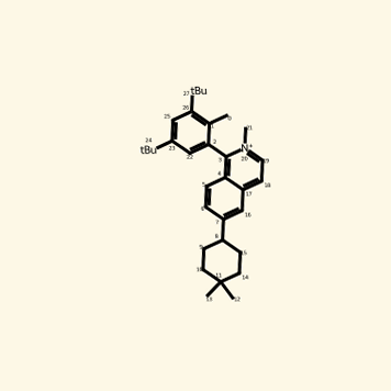 Cc1c(-c2c3ccc(C4CCC(C)(C)CC4)cc3cc[n+]2C)cc(C(C)(C)C)cc1C(C)(C)C